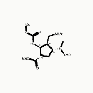 COC(=O)[C@H]1C[C@@H](N(C)C=O)[C@H](CNC(C)=O)[C@@H]1NC(=O)OC(C)(C)C